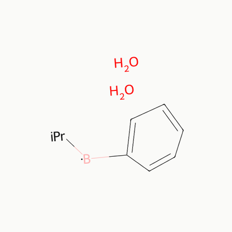 CC(C)[B]c1ccccc1.O.O